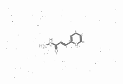 CNC(=O)/C=C/C1=CCC=CO1